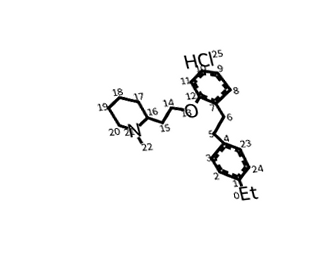 CCc1ccc(CCc2ccccc2OCCC2CCCCN2C)cc1.Cl